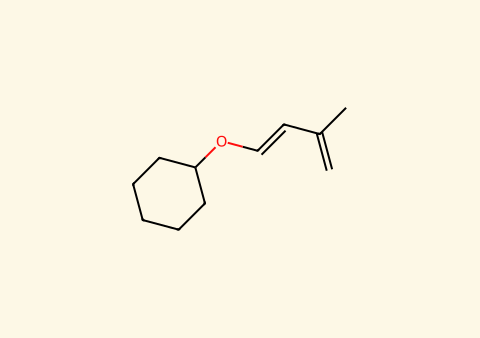 C=C(C)C=COC1CCCCC1